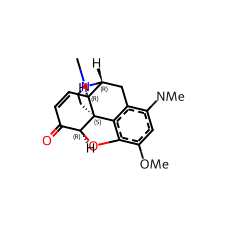 CNc1cc(OC)c2c3c1C[C@@H]1[C@@H]4C=CC(=O)[C@H](O2)[C@]34CCN1C